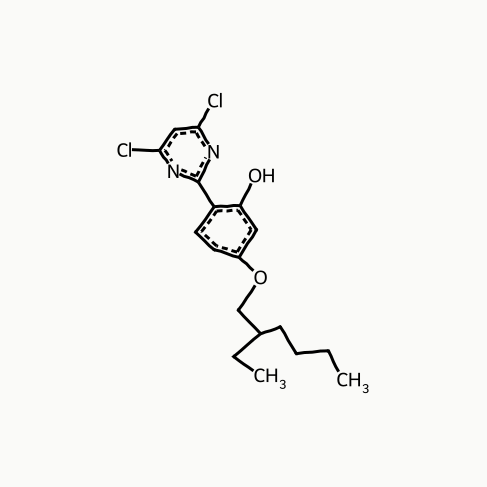 CCCCC(CC)COc1ccc(-c2nc(Cl)cc(Cl)n2)c(O)c1